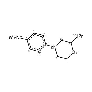 CNc1ccc(N2CCOC(C(C)C)C2)cc1